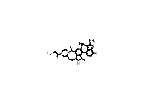 C=CC(=O)N1CCN2C(=O)c3cc(F)c(-c4ccc(F)c5sc(N)c(C#N)c45)c4c3N(CCC2C1)NC4F